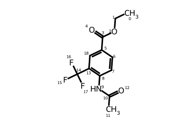 CCOC(=O)c1ccc(NC(C)=O)c(C(F)(F)F)c1